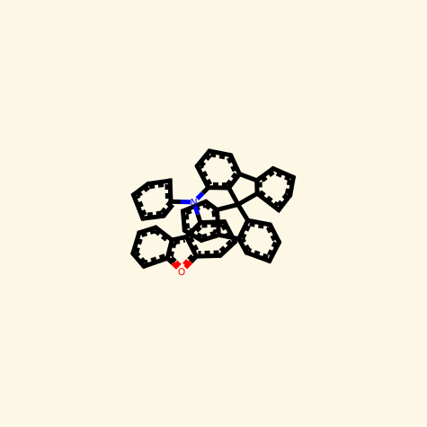 c1ccc(N(c2cccc3c2C2(c4ccccc4-c4ccccc42)c2ccccc2-3)c2cccc3oc4ccccc4c23)cc1